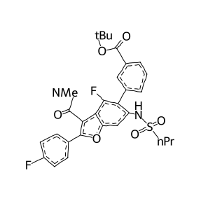 CCCS(=O)(=O)Nc1cc2oc(-c3ccc(F)cc3)c(C(=O)NC)c2c(F)c1-c1cccc(C(=O)OC(C)(C)C)c1